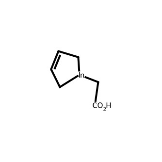 O=C(O)[CH2][In]1[CH2]C=C[CH2]1